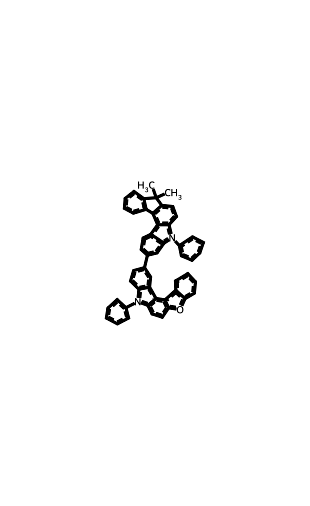 CC1(C)c2ccccc2-c2c1ccc1c2c2ccc(-c3ccc4c(c3)c3c5c(ccc3n4-c3ccccc3)oc3ccccc35)cc2n1-c1ccccc1